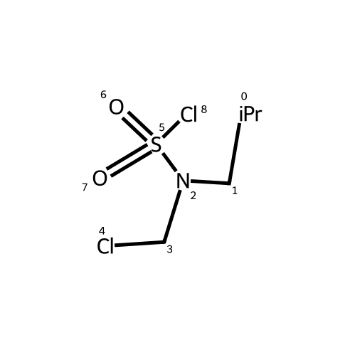 CC(C)CN(CCl)S(=O)(=O)Cl